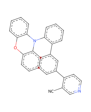 N#Cc1cnccc1-c1cccc(-c2ccccc2N2c3ccccc3Oc3ccccc32)c1